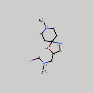 CN1CCC2(CC1)NCC(CN(C)CI)O2